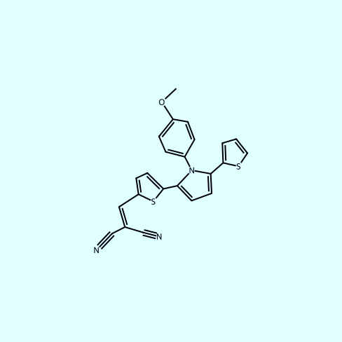 COc1ccc(-n2c(-c3cccs3)ccc2-c2ccc(C=C(C#N)C#N)s2)cc1